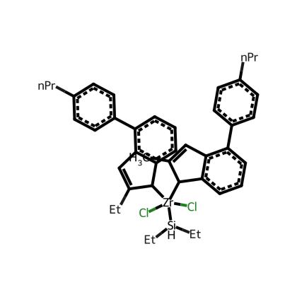 CCCc1ccc(-c2cccc3c2C=C(C)[CH]3[Zr]([Cl])([Cl])([CH]2C(CC)=Cc3c(-c4ccc(CCC)cc4)cccc32)[SiH](CC)CC)cc1